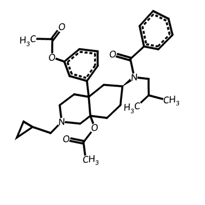 CC(=O)Oc1cccc(C23CCN(CC4CC4)CC2(OC(C)=O)CC[C@H](N(CC(C)C)C(=O)c2ccccc2)C3)c1